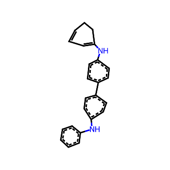 C1=CCCC(Nc2ccc(-c3ccc(Nc4ccccc4)cc3)cc2)=C1